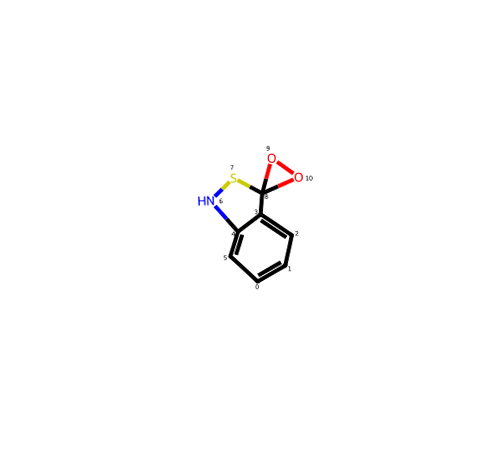 c1ccc2c(c1)NSC21OO1